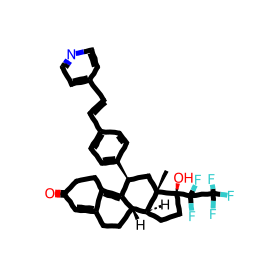 C[C@]12C[C@H](c3ccc(/C=C/c4ccncc4)cc3)C3=C4CCC(=O)C=C4CC[C@H]3[C@@H]1CC[C@@]2(O)C(F)(F)C(F)(F)F